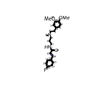 COc1ccc(CCN(C)CCCNC(=O)/C=C/c2ccc(F)cc2)cc1OC